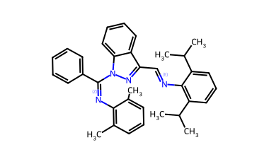 Cc1cccc(C)c1/N=C(/c1ccccc1)n1nc(/C=N/c2c(C(C)C)cccc2C(C)C)c2ccccc21